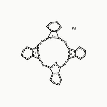 [Pd].c1ccc2c(c1)-c1nc-2nc2[nH]c(nc3nc(nc4[nH]c(n1)c1ccccc41)-c1ccccc1-3)c1ccccc21